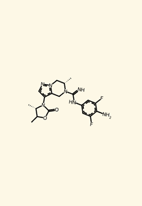 CC1OC(=O)N(c2cnn3c2CN(C(=N)Nc2cc(F)c(N)c(F)c2)[C@@H](C)C3)[C@H]1C